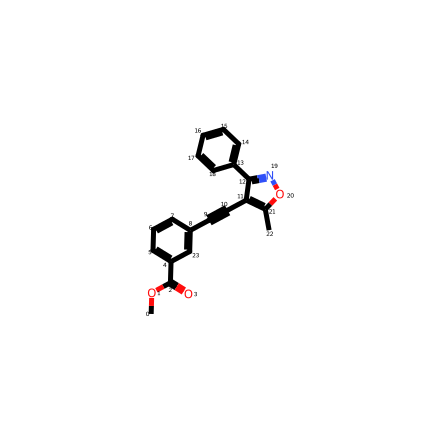 COC(=O)c1cccc(C#Cc2c(-c3ccccc3)noc2C)c1